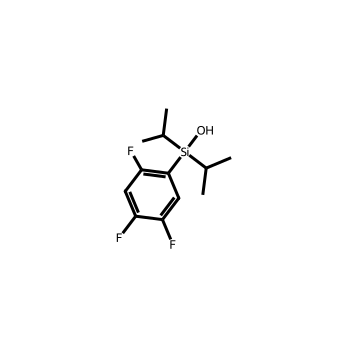 CC(C)[Si](O)(c1cc(F)c(F)cc1F)C(C)C